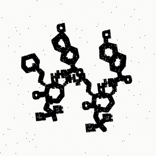 CCC(C)(CC)CN1CC[C@@H](CNC(=O)c2ccc3cc(Cl)ccc3c2)N[C@@H](CCN)C1=O.CCC(C)(CC)CN1CC[C@@H](CNC(=O)c2ccc3cc(Cl)ccc3c2)N[C@@H](CCN2CCCCC2)C1=O